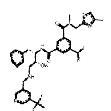 Cc1csc(CN(C)C(=O)c2cc(C(=O)N[C@@H](Cc3ccccc3)[C@H](O)CNCc3cncc(C(C)(F)F)c3)cc(C(F)F)c2)n1